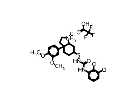 COc1ccc(C23CCC(SNC(=O)Nc4cccc(Cl)c4Cl)CC2N(C)CC3)cc1OC.O=C(O)C(F)(F)F